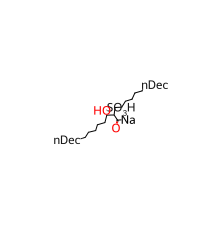 CCCCCCCCCCCCCCCCC(CCCCCCCCCCCCCCCC)[C](=O)[Na].O=S(=O)(O)O